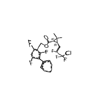 CC1(C)[C@H](C(=O)OCc2c(F)cc(F)c(-c3ccccc3)c2F)[C@@H]1C=C(F)C(F)(F)Cl